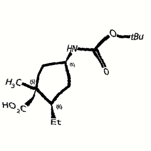 CC[C@@H]1C[C@H](NC(=O)OC(C)(C)C)C[C@]1(C)C(=O)O